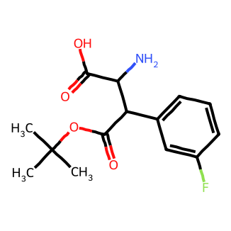 CC(C)(C)OC(=O)C(c1cccc(F)c1)C(N)C(=O)O